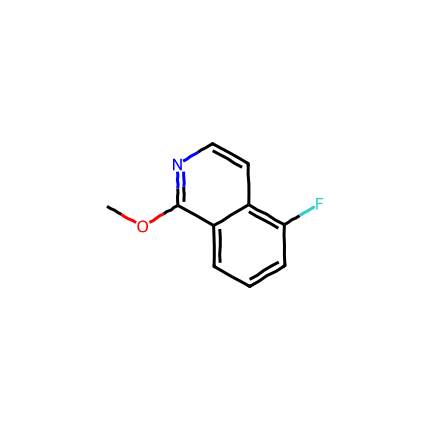 COc1nccc2c(F)cccc12